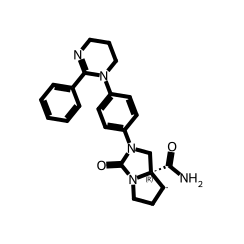 NC(=O)[C@]12[CH]CCN1C(=O)N(c1ccc(N3CCCN=C3c3ccccc3)cc1)C2